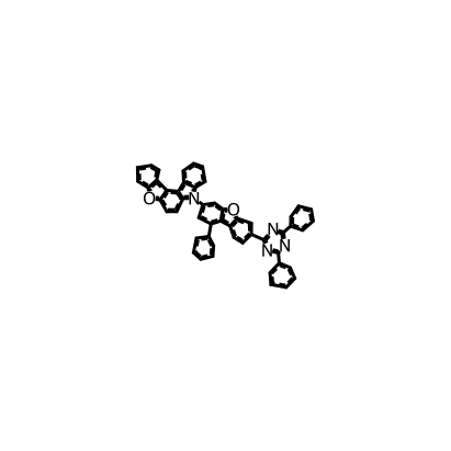 c1ccc(-c2nc(-c3ccccc3)nc(-c3ccc4c(c3)oc3cc(-n5c6ccccc6c6c7c(ccc65)oc5ccccc57)cc(-c5ccccc5)c34)n2)cc1